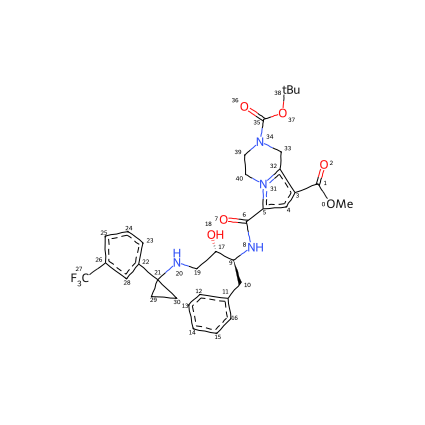 COC(=O)c1cc(C(=O)N[C@@H](Cc2ccccc2)[C@@H](O)CNC2(c3cccc(C(F)(F)F)c3)CC2)n2c1CN(C(=O)OC(C)(C)C)CC2